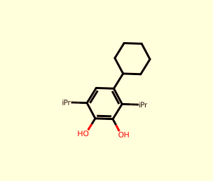 CC(C)c1cc(C2CCCCC2)c(C(C)C)c(O)c1O